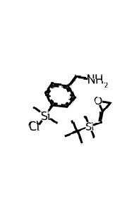 CC(C)(C)[Si](C)(C)C=C1CO1.C[Si](C)(Cl)c1ccc(CN)cc1